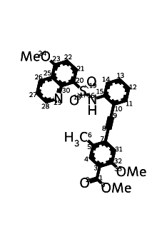 COC(=O)c1cc(C)c(C#Cc2ccccc2NS(=O)(=O)c2ccc(OC)c3cccnc23)cc1OC